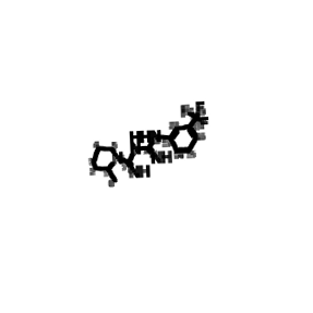 CC1CCCCN1C(=N)NC(=N)Nc1cccc(C(F)(F)F)c1